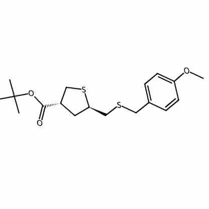 COc1ccc(CSC[C@H]2C[C@H](C(=O)OC(C)(C)C)CS2)cc1